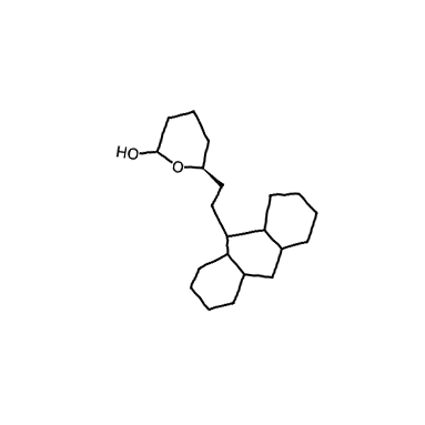 OC1CCC[C@@H](CCC2C3CCCCC3CC3CCCCC32)O1